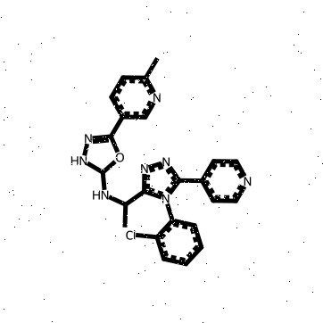 Cc1ccc(C2=NNC(NC(C)c3nnc(-c4ccncc4)n3-c3ccccc3Cl)O2)cn1